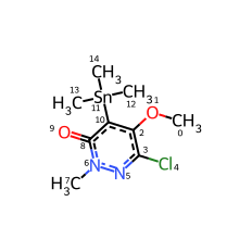 COc1c(Cl)nn(C)c(=O)[c]1[Sn]([CH3])([CH3])[CH3]